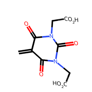 C=C1C(=O)N(CC(=O)O)C(=O)N(CC(=O)O)C1=O